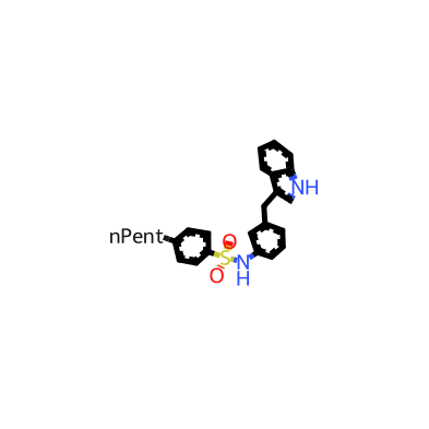 CCCCCc1ccc(S(=O)(=O)Nc2cccc(Cc3c[nH]c4ccccc34)c2)cc1